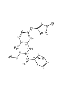 CCn1cc(Nc2ncc(C(F)(F)F)c(NN(CCO)C(=O)C3CC4C=CC3C4)n2)cn1